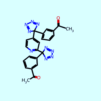 CC(=O)c1cccc(C2(c3ccnc(C4(c5cccc(C(C)=O)c5)N=NN=N4)c3)N=NN=N2)c1